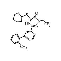 Cc1ccccc1-c1cccc(C2=NN(CC(F)(F)F)C(=O)C(SC3CCCCC3)N2)c1